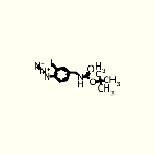 CC(C)(C)OC(=O)NCc1ccc(N=[N+]=[N-])c(I)c1